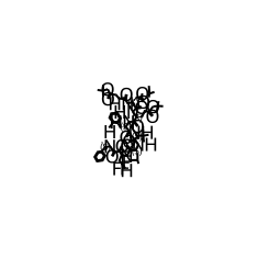 Cc1ccccc1C[C@H](NC(=O)[C@H](CCC(=O)OC(C)(C)C)NC(=O)[C@H](CC(=O)OC(C)(C)C)NC(=O)CCC(=O)OC(C)(C)C)C(=O)N[C@H](C(=O)N[C@@H](CC(C)C)C(=O)NC(CC(F)(F)F)C(=O)C(=O)N[C@@H](C)c1ccccc1)C(C)(C)C